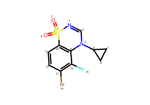 O=S1(=O)N=CN(C2CC2)c2c1ccc(Br)c2F